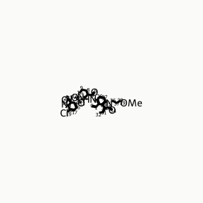 C=Cc1c(NC(=O)C2CCCN(S(=O)(=O)c3ccc(Cl)c4nonc34)C2)ccc2c1/C(=C\C)C(=O)N2CCCOC